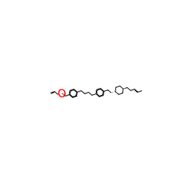 C=CCOCc1ccc(CCCCc2ccc(CC[C@H]3CC[C@H](CC/C=C/C)CC3)cc2)cc1